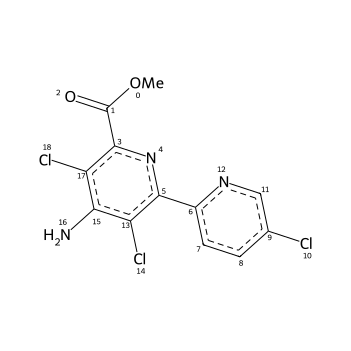 COC(=O)c1nc(-c2ccc(Cl)cn2)c(Cl)c(N)c1Cl